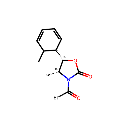 CCC(=O)N1C(=O)O[C@@H](C2C=CC=CC2C)[C@H]1C